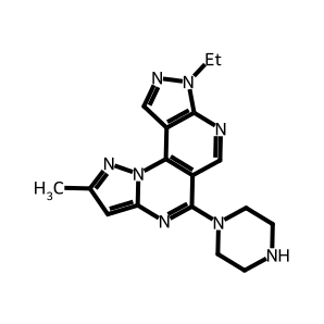 CCn1ncc2c1ncc1c(N3CCNCC3)nc3cc(C)nn3c12